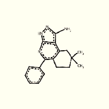 CC1(C)CCc2c(-c3ccccc3)nc3[nH]nc(N)c3c2C1